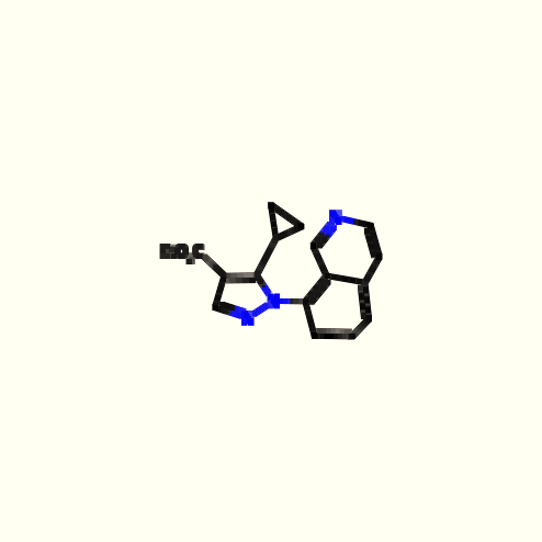 CCOC(=O)c1cnn(-c2cccc3ccncc23)c1C1CC1